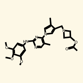 COc1cc(Nc2ncc(C)c(-n3cc(C)c(CN4CC(OC(C)=O)C4)c3)n2)cc(OC)c1OC